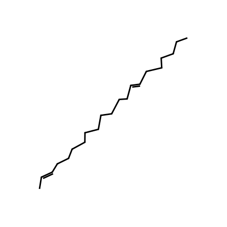 CC=CCCCCCCCCCCC=CCCCCCC